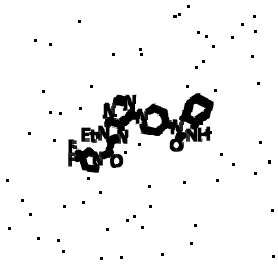 CCn1c(C(=O)N2CCC(F)(F)C2)nc2c(N3CCC(n4c(=O)[nH]c5ccccc54)CC3)ncnc21